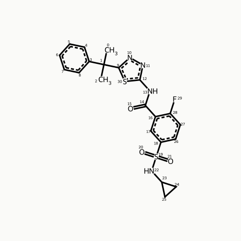 CC(C)(c1ccccc1)c1nnc(NC(=O)c2cc(S(=O)(=O)NC3CC3)ccc2F)s1